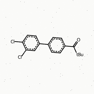 CC(C)(C)C(=O)c1ccc(-c2ccc(Cl)c(Cl)c2)cc1